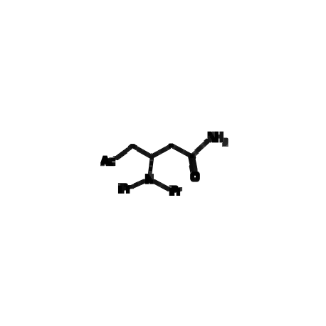 CC(=O)CC(CC(N)=O)N(C(C)C)C(C)C